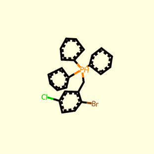 Clc1ccc(Br)c(C[PH](c2ccccc2)(c2ccccc2)c2ccccc2)c1